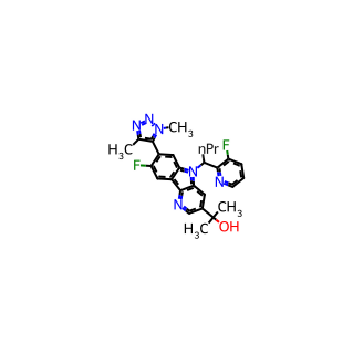 CCCC(c1ncccc1F)n1c2cc(-c3c(C)nnn3C)c(F)cc2c2ncc(C(C)(C)O)cc21